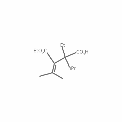 CCCC(CC)(C(=O)O)C(C(=O)OCC)=C(C)C